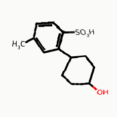 Cc1ccc(S(=O)(=O)O)c(C2CCC(O)CC2)c1